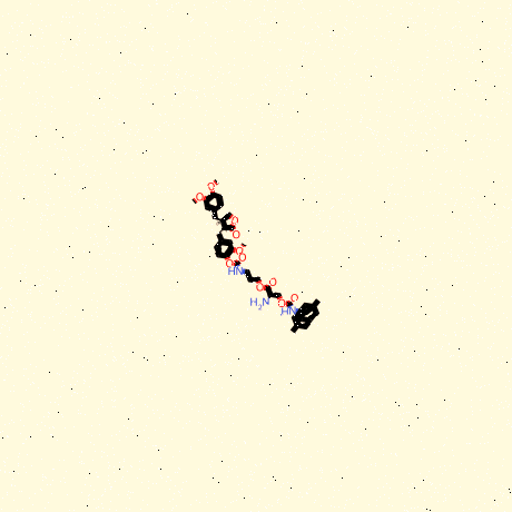 COc1ccc(C[C@H]2COC(=O)[C@@H]2Cc2ccc(OC(=O)NCCCOC(=O)[C@@H](N)COC(=O)NC34CC5CC(C)(CC(C)(C5)C3)C4)c(OC)c2)cc1OC